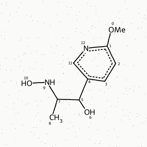 COc1ccc(C(O)C(C)NO)cn1